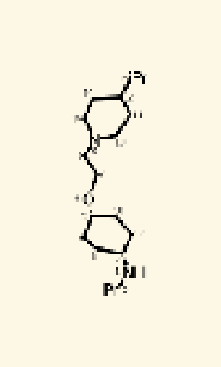 CC(C)N[C@H]1CC[C@H](OCCN2CCC(C(C)C)CC2)CC1